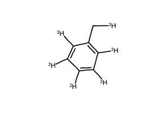 [2H]Cc1c([2H])c([2H])c([2H])c([2H])c1[2H]